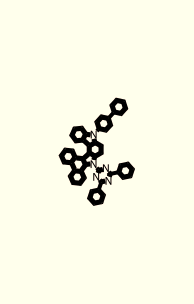 c1ccc(-c2ccc(-n3c4ccccc4c4c5c6c7ccccc7c7ccccc7c6n(-c6nc(-c7ccccc7)nc(-c7ccccc7)n6)c5ccc43)cc2)cc1